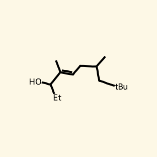 CCC(O)C(C)=CCC(C)CC(C)(C)C